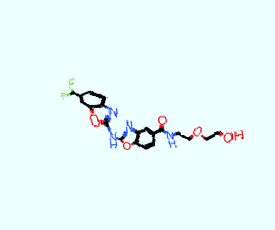 O=C(NCCOCCO)c1ccc2oc(Nc3nc4ccc(C(F)F)cc4o3)nc2c1